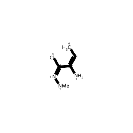 C/C=C(N)\C(Cl)=N/NC